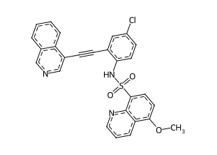 COc1ccc(S(=O)(=O)Nc2ccc(Cl)cc2C#Cc2cncc3ccccc23)c2ncccc12